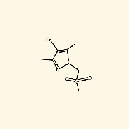 Cc1nn(CS(C)(=O)=O)c(C)c1Br